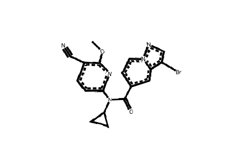 COc1nc(N(C(=O)c2ccn3ncc(Br)c3c2)C2CC2)ccc1C#N